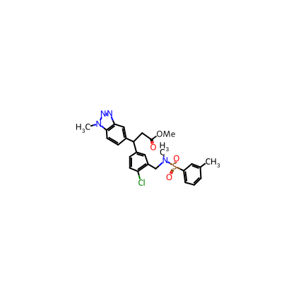 COC(=O)CC(c1ccc(Cl)c(CN(C)S(=O)(=O)c2cccc(C)c2)c1)c1ccc2c(c1)nnn2C